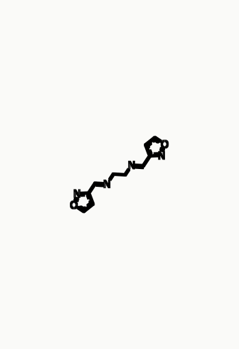 C(=N\CC/N=C/c1ccon1)/c1ccon1